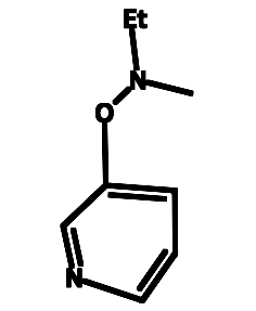 CCN(C)Oc1cccnc1